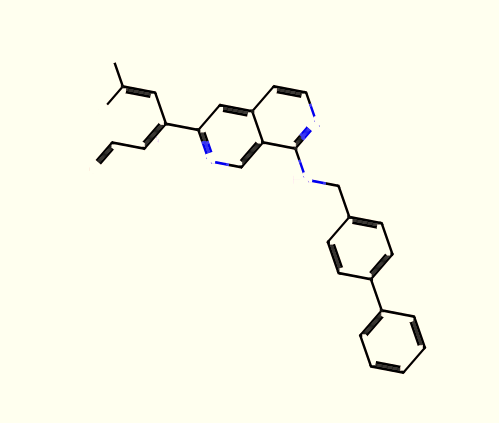 C=C/C=C(\C=C(C)C)c1cc2ccnc(NCc3ccc(-c4ccccc4)cc3)c2cn1